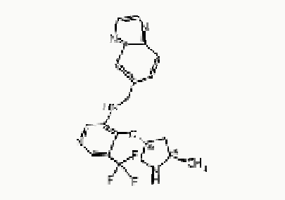 C[C@@H]1C[C@@H](Oc2c(NCc3ccc4nccnc4c3)cncc2C(F)(F)F)CN1